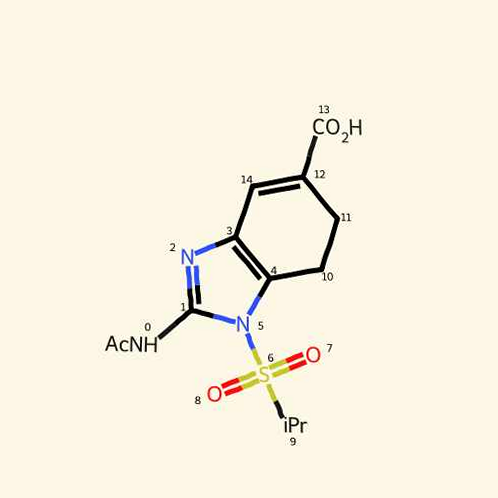 CC(=O)Nc1nc2c(n1S(=O)(=O)C(C)C)CCC(C(=O)O)=C2